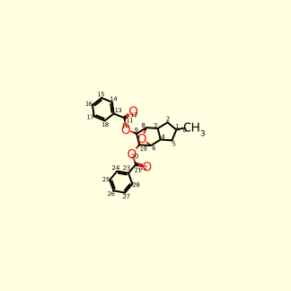 CC1CC2C(C1)C1OC2C(OC(=O)c2ccccc2)C1OC(=O)c1ccccc1